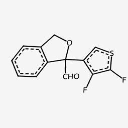 O=CC1(c2csc(F)c2F)OCc2ccccc21